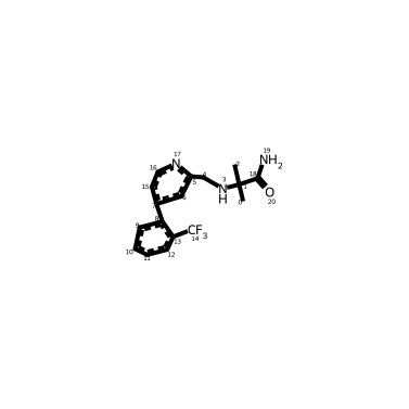 CC(C)(NCc1cc(-c2ccccc2C(F)(F)F)ccn1)C(N)=O